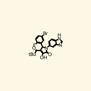 CC(C)(C)C(=O)C1=C(O)C(=O)N(c2ccc3[nH]cnc3c2)C1c1cc(Br)ccc1F